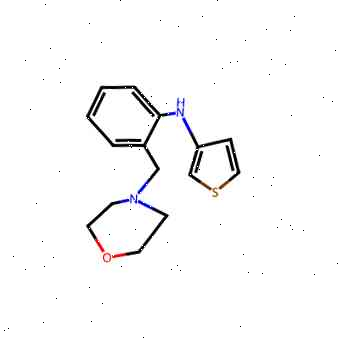 c1ccc(Nc2ccsc2)c(CN2CCOCC2)c1